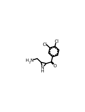 NCC1NC1C(=O)c1ccc(Cl)c(Cl)c1